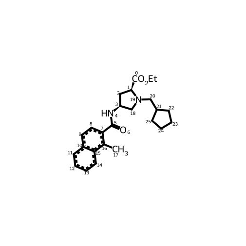 CCOC(=O)[C@@H]1C[C@H](NC(=O)c2ccc3ccccc3c2C)CN1CC1CCCC1